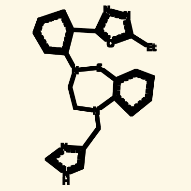 CCc1nnc(-c2ccccc2N2CCN(Cc3c[nH]cn3)c3ccccc3S2)o1